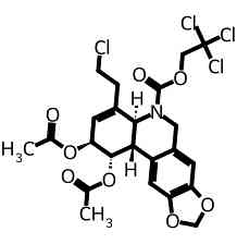 CC(=O)O[C@H]1[C@H]2c3cc4c(cc3CN(C(=O)OCC(Cl)(Cl)Cl)[C@@H]2C(CCCl)=C[C@@H]1OC(C)=O)OCO4